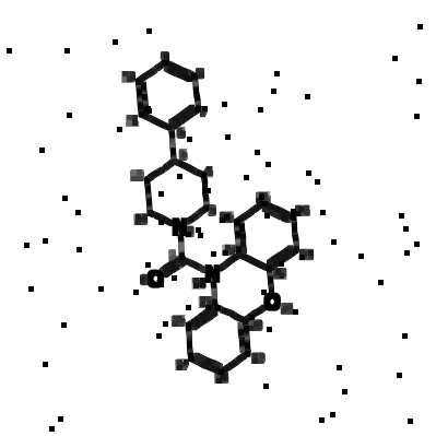 O=C(N1CCC(c2ccccc2)CC1)N1c2ccccc2Oc2ccccc21